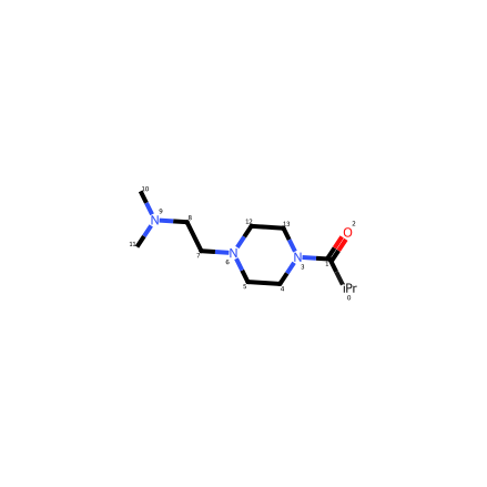 CC(C)C(=O)N1CCN(CCN(C)C)CC1